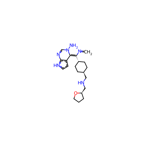 C=N/C(=C1/c2cc[nH]c2N=CN1N)[C@H]1CC[C@H](CNC[C@H]2CCCO2)CC1